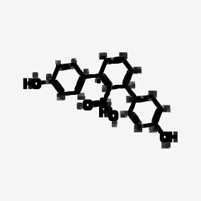 O=[SH](=O)c1c(-c2ccc(O)cc2)cccc1-c1ccc(O)cc1